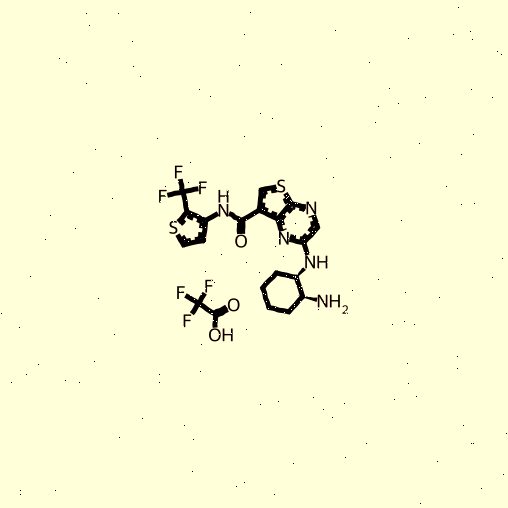 N[C@H]1CCCC[C@H]1Nc1cnc2scc(C(=O)Nc3ccsc3C(F)(F)F)c2n1.O=C(O)C(F)(F)F